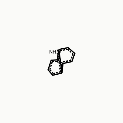 N.c1cc2c3cccc2c3c1